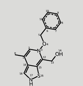 CC1=CN(OCc2ccccc2)C(CO)=C2SNC=C12